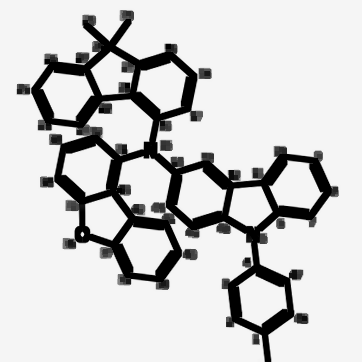 Cc1ccc(-n2c3ccccc3c3cc(N(c4cccc5c4-c4ccccc4C5(C)C)c4cccc5oc6ccccc6c45)ccc32)cc1